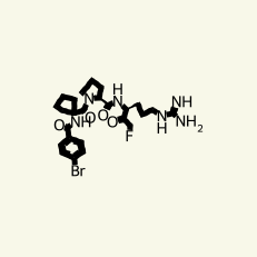 N=C(N)NCCC[C@H](NC(=O)[C@@H]1CCCN1C(=O)C1(NC(=O)c2ccc(Br)cc2)CCCC1)C(=O)CF